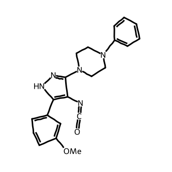 COc1cccc(-c2[nH]nc(N3CCN(c4ccccc4)CC3)c2N=C=O)c1